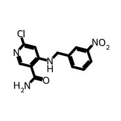 NC(=O)c1cnc(Cl)cc1NCc1cccc([N+](=O)[O-])c1